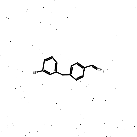 C=Cc1ccc(Cc2cccc(CC)c2)cc1